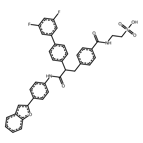 O=C(NCCS(=O)(=O)O)c1ccc(CC(C(=O)Nc2ccc(-c3cc4ccccc4o3)cc2)c2ccc(-c3cc(F)cc(F)c3)cc2)cc1